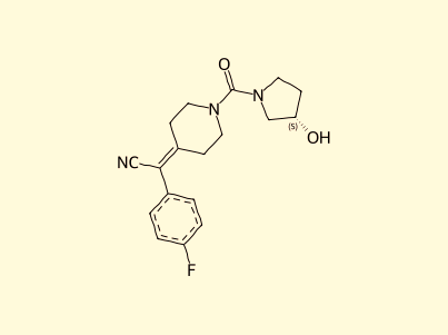 N#CC(=C1CCN(C(=O)N2CC[C@H](O)C2)CC1)c1ccc(F)cc1